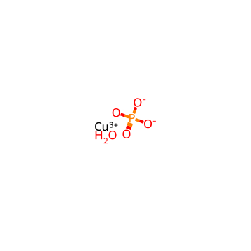 O.O=P([O-])([O-])[O-].[Cu+3]